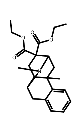 CCOC(=O)C1(C(=O)OCC)CC2C3Cc4ccccc4C2(C)CC1N3C